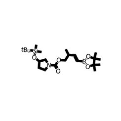 CC(C=CB1OC(C)(C)C(C)(C)O1)COC(=O)N1CCC(O[Si](C)(C)C(C)(C)C)C1